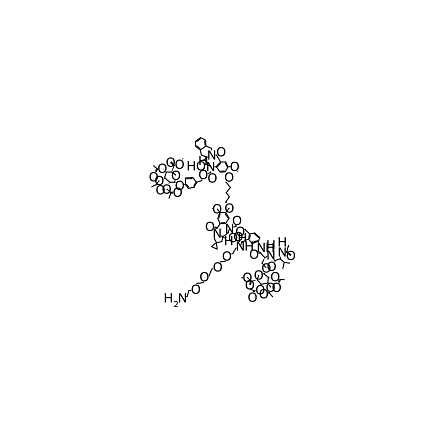 COC(=O)[C@H]1O[C@@H](OC[C@H](NC(=O)[C@@H](NC(C)=O)C(C)C)C(=O)Nc2ccc(COC(=O)N3c4cc(OCCCCCOc5cc6c(cc5OC)C(=O)N5Cc7ccccc7C[C@H]5[C@H](O)N6C(=O)OCc5ccc(O[C@@H]6O[C@H](C(=O)OC)[C@@H](OC(C)=O)[C@H](OC(C)=O)[C@H]6OC(C)=O)cc5)c(OC)cc4C(=O)N4CC5(CC5)C[C@H]4[C@@H]3O)c(C(=O)NCCOCCOCCOCCOCCN)c2)[C@H](OC(C)=O)[C@@H](OC(C)=O)[C@@H]1OC(C)=O